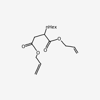 C=CCOC(=O)CC(CCCCCC)C(=O)OCC=C